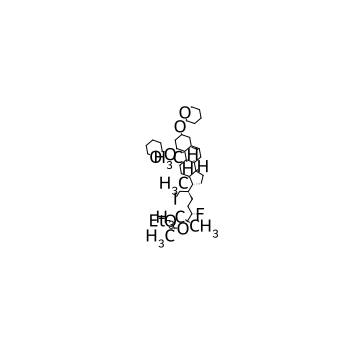 CCOC(C)OC(C)(C)[C@@H](F)CC[C@@H](CI)[C@H]1CC[C@H]2[C@@H]3CC=C4C[C@@H](OC5CCCCO5)C[C@H](OC5CCCCO5)[C@]4(C)[C@H]3CC[C@]12C